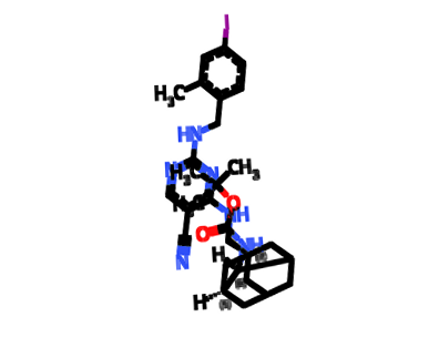 Cc1cc(I)ccc1CNc1ncc(C#N)c(NC[C@]23CC4CC(C2)[C@@H](NC(=O)OC(C)(C)C)[C@@H](C4)C3)n1